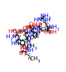 CCCC[C@H](NC(C)=O)C(=O)O.C[C@H](N)C(=O)O.N=C(N)NCCC[C@H](N)C(=O)O.N[C@@H](Cc1c[nH]c2ccccc12)C(=O)O.N[C@@H](Cc1c[nH]cn1)C(=O)O.N[C@H](Cc1ccccc1)C(=O)O